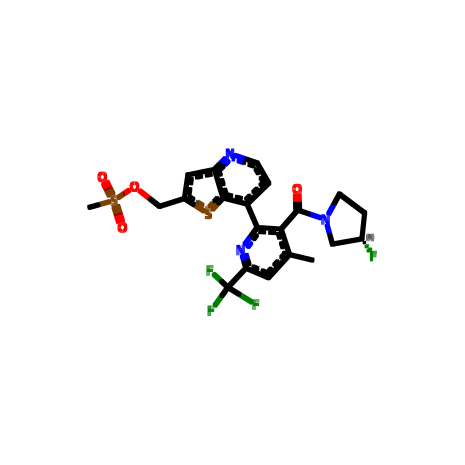 Cc1cc(C(F)(F)F)nc(-c2ccnc3cc(COS(C)(=O)=O)sc23)c1C(=O)N1CC[C@H](F)C1